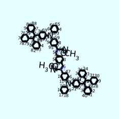 COc1cc(/C=C(\C#N)c2ccc(N(c3ccccc3)c3ccc(C(=C(c4ccccc4)c4ccccc4)c4ccccc4)cc3)cc2)c(OC)cc1/C=C(\C#N)c1ccc(N(c2ccccc2)c2ccc(C(=C(c3ccccc3)c3ccccc3)c3ccccc3)cc2)cc1